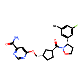 N#Cc1cc(F)cc([C@@H]2CCON2C(=O)[C@H]2CC[C@H](COc3cc(C(N)=O)ncn3)C2)c1